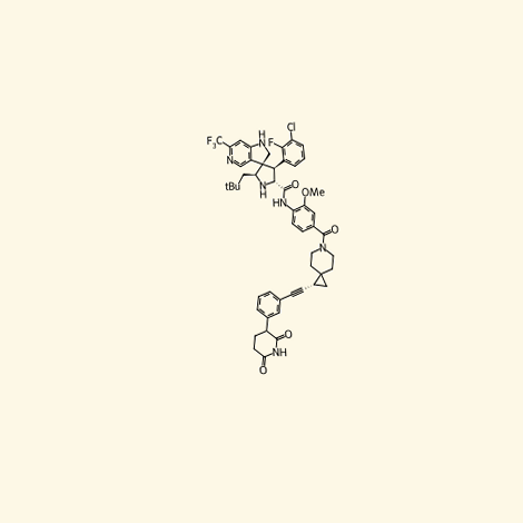 COc1cc(C(=O)N2CCC3(CC2)C[C@@H]3C#Cc2cccc(C3CCC(=O)NC3=O)c2)ccc1NC(=O)[C@@H]1N[C@@H](CC(C)(C)C)[C@@]2(CNc3cc(C(F)(F)F)ncc32)[C@H]1c1cccc(Cl)c1F